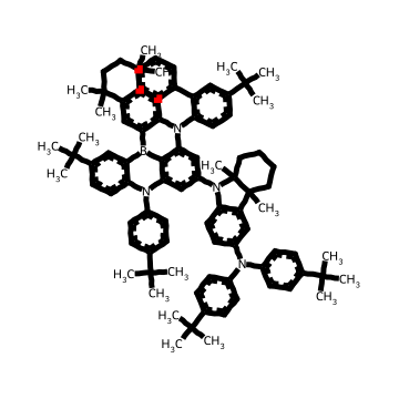 CC(C)(C)c1ccc(N(c2ccc(C(C)(C)C)cc2)c2ccc3c(c2)C2(C)CCCCC2(C)N3c2cc3c4c(c2)N(c2ccc(C(C)(C)C)cc2-c2ccccc2)c2cc5c(cc2B4c2cc(C(C)(C)C)ccc2N3c2ccc(C(C)(C)C)cc2)C(C)(C)CCC5(C)C)cc1